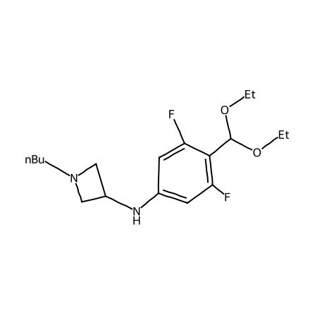 CCCCN1CC(Nc2cc(F)c(C(OCC)OCC)c(F)c2)C1